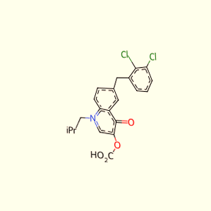 CC(C)Cn1cc(OC(=O)O)c(=O)c2cc(Cc3cccc(Cl)c3Cl)ccc21